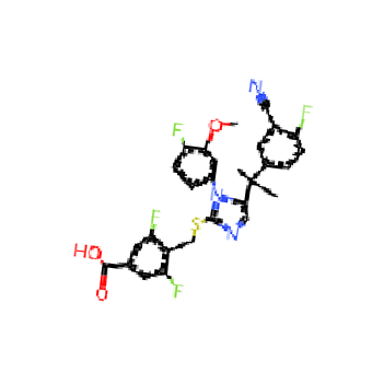 COc1cc(-n2c(C(C)(C)c3ccc(F)c(C#N)c3)cnc2SCc2c(F)cc(C(=O)O)cc2F)ccc1F